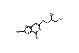 CCc1cc2c(=O)[nH]c(OCC(O)CO)nc2s1